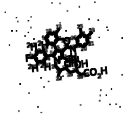 [2H]c1c([2H])c(-c2c(-c3cccc(C)c3C)c(C(=O)Nc3ccc(C)c(C)c3)c(C(C)CC)n2CC(C)[C@@H](O)C[C@@H](O)CC(=O)O)c([2H])c([2H])c1F